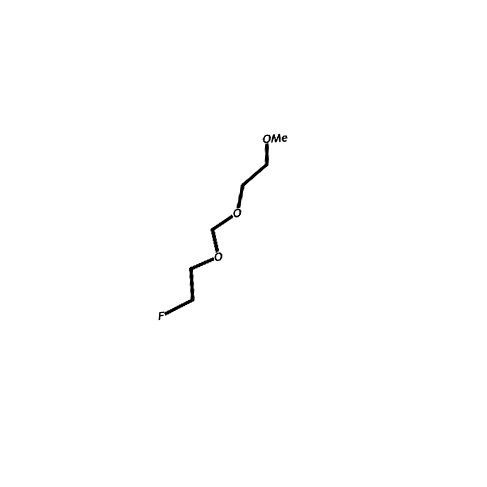 COCCOCOCCF